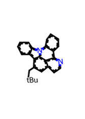 CC(C)(C)Cc1cc2ccnc3c4ccccc4n4c5ccccc5c1c4c23